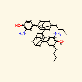 CCCCc1cc(C23CC4CC(C2)CC(C25CC6CC(CCCC)(CC(c7ccc(O)c(N)c7)(C6)C2)C5)(C4)C3)cc(N)c1O